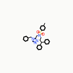 Cc1ccc(S(=O)(=O)N(CCC(c2ccccc2)c2ccccc2)Cc2nncn2Cc2ccccc2)cc1